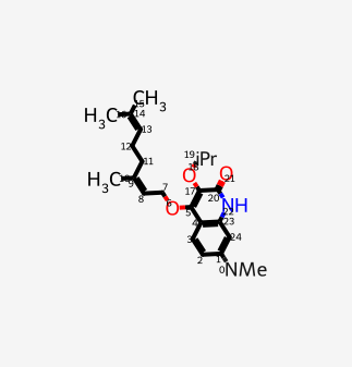 CNc1ccc2c(OCC=C(C)CCC=C(C)C)c(OC(C)C)c(=O)[nH]c2c1